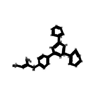 C/C=C(\C)Nc1ccc(-c2nc(-c3ccccc3)nc(-c3ccccc3)n2)cc1